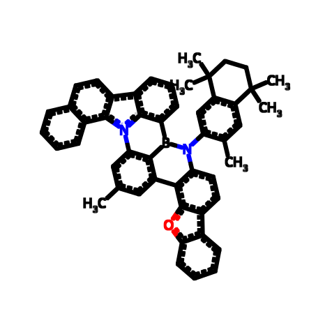 Cc1cc2c3c(c1)-n1c4c(cccc4c4ccc5ccccc5c41)B3N(c1cc3c(cc1C)C(C)(C)CCC3(C)C)c1ccc3c(oc4ccccc43)c1-2